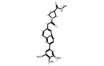 COc1cc(-c2ccc3cc(CC(=O)N4CCC(C(=O)NC(C)C)C4)ccc3c2)cc(OC)c1OC